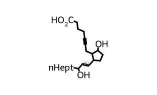 CCCCCCCC(O)/C=C/C1CCC(O)C1CC#CCCCC(=O)O